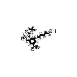 CC(C)(C)OC(=O)N=S(C)(=O)Cc1cc(OCCCCCO)cc([N+](=O)[O-])c1